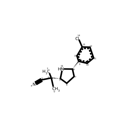 CC(C)(C#N)[C@H]1CC[C@@H](c2cccc(Cl)c2)N1